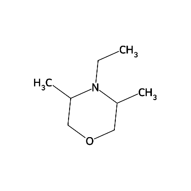 CCN1C(C)COCC1C